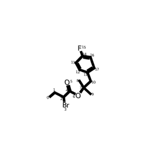 CCC(Br)C(=O)OC(C)(C)Cc1ccc(F)cc1